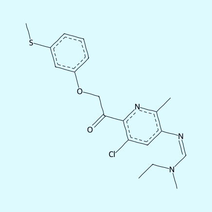 CCN(C)/C=N\c1cc(Cl)c(C(=O)COc2cccc(SC)c2)nc1C